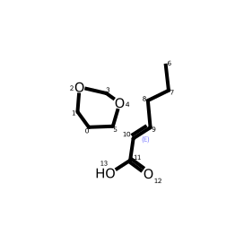 C1COCOC1.CCC/C=C/C(=O)O